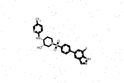 O=S(=O)(c1ccc(-c2cc(F)c3[nH]ncc3c2)cc1)N1CC[C@@H](Nc2ccc(C(F)(F)F)cn2)[C@@H](O)C1